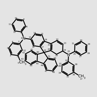 Cc1cccc(N(c2ccccc2)c2ccc3c(c2)C2(C4=C3C=CC(N(c3ccccc3)c3cccc(C)c3)C4)c3ccccc3-c3ccccc32)c1